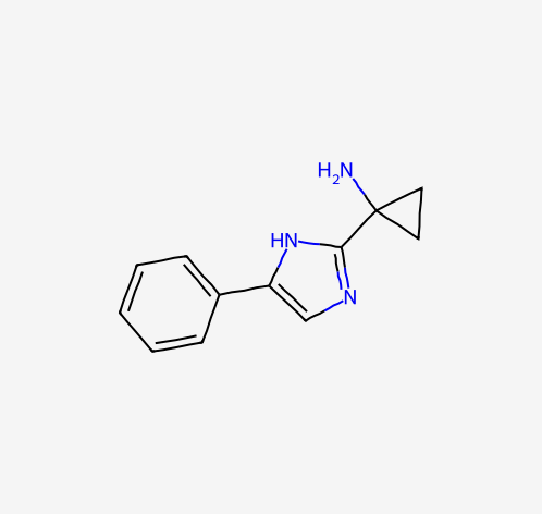 NC1(c2ncc(-c3ccccc3)[nH]2)CC1